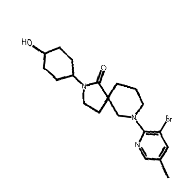 Cc1cnc(N2CCCC3(CCN(C4CCC(O)CC4)C3=O)C2)c(Br)c1